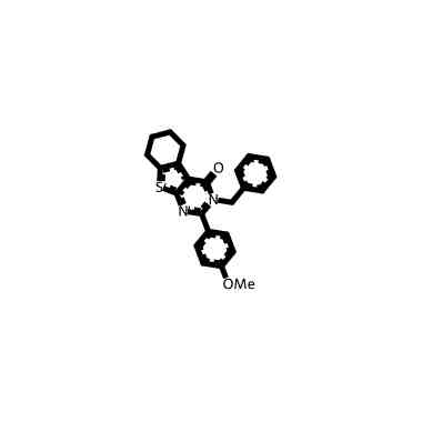 COc1ccc(-c2nc3sc4c(c3c(=O)n2Cc2ccccc2)CCCC4)cc1